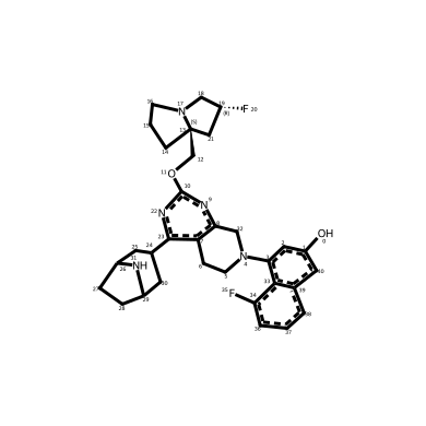 Oc1cc(N2CCc3c(nc(OC[C@@]45CCCN4C[C@H](F)C5)nc3C3CC4CCC(C3)N4)C2)c2c(F)cccc2c1